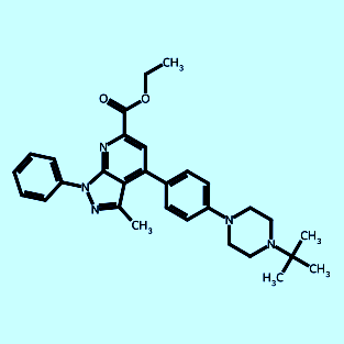 CCOC(=O)c1cc(-c2ccc(N3CCN(C(C)(C)C)CC3)cc2)c2c(C)nn(-c3ccccc3)c2n1